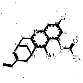 C=CC1=CC2Cc3nc4cc(Cl)cc(OC(=O)C(F)(F)F)c4c(N)c3C(C1)C2